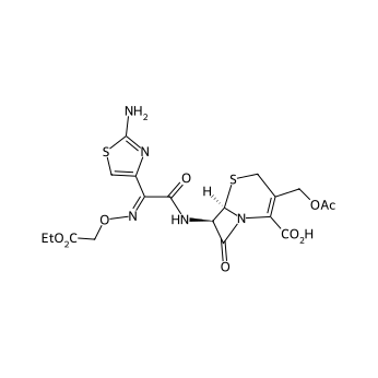 CCOC(=O)CON=C(C(=O)N[C@@H]1C(=O)N2C(C(=O)O)=C(COC(C)=O)CS[C@H]12)c1csc(N)n1